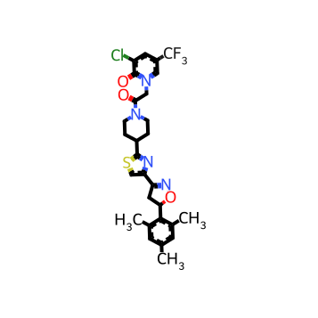 Cc1cc(C)c(C2CC(c3csc(C4CCN(C(=O)Cn5cc(C(F)(F)F)cc(Cl)c5=O)CC4)n3)=NO2)c(C)c1